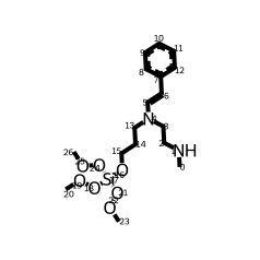 CNCCN(C=Cc1ccccc1)CCCO[Si](OOC)(OOC)OOC